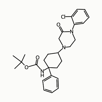 CC(C)(C)OC(=O)NC1(c2ccccc2)CCC(N2CCN(c3ccccc3Cl)C(=O)C2)CC1